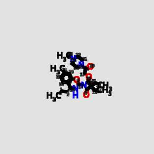 CCC[C@@H](NC(=O)N1C(=O)C(CC)(CC)[C@@H]1OCC(=O)N1CCN(C)CC1)c1ccc(C)cc1